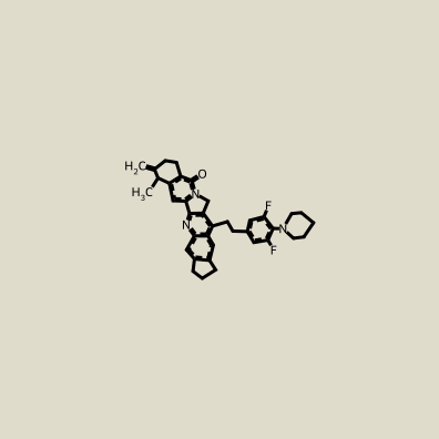 C=C1CCc2c(cc3n(c2=O)Cc2c-3nc3cc4c(cc3c2CCc2cc(F)c(N3CCCCC3)c(F)c2)CCC4)C1C